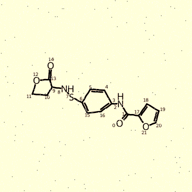 O=C(Nc1ccc(SNC2CCOC2=O)cc1)c1ccco1